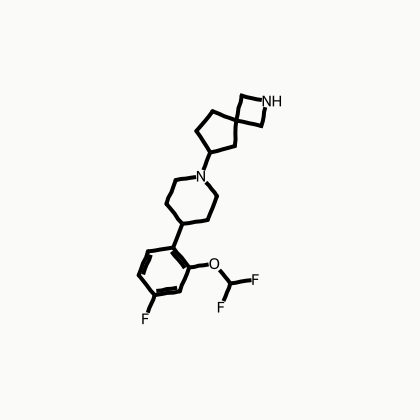 Fc1ccc(C2CCN(C3CCC4(CNC4)C3)CC2)c(OC(F)F)c1